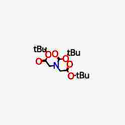 CC(C)(C)OC(=O)CN(CC(=O)OC(C)(C)C)C(=O)OC(C)(C)C